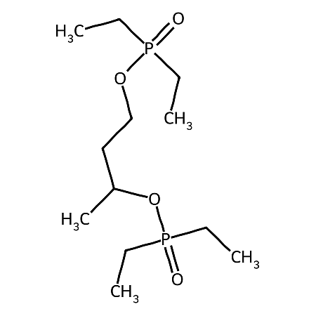 CCP(=O)(CC)OCCC(C)OP(=O)(CC)CC